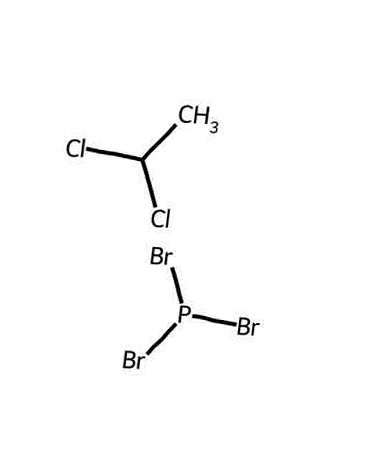 BrP(Br)Br.CC(Cl)Cl